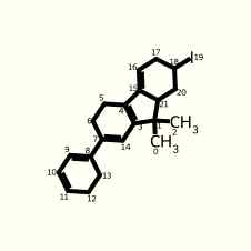 CC1(C)C2=C(CCC(C3=CC=CCC3)=C2)C2=CCC(I)CC21